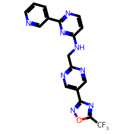 FC(F)(F)c1nc(-c2cnc(CNc3ccnc(-c4cccnc4)n3)nc2)no1